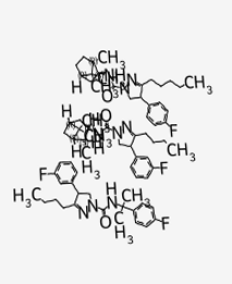 CCCCC1=NN(C(=O)NC(C)(C)c2ccc(F)cc2)CC1c1cccc(F)c1.CCCCC1=NN(C(=O)N[C@H]2C[C@H]3C[C@@H]([C@@H]2C)C3(C)C)CC1c1cccc(F)c1.CCCCCC1=NN(C(=O)N[C@H]2C[C@H]3CC[C@]2(C)C3(C)C)CC1c1ccc(F)cc1